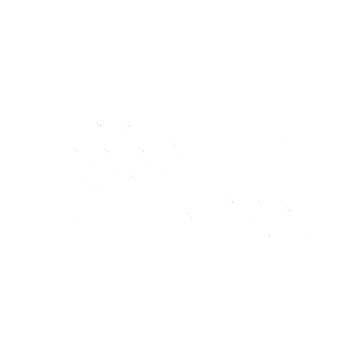 Cc1cc(C)nc(-c2cc(-n3c4ccccc4c4ccc(-c5nc(-c6ccccc6)nc(-c6ccccc6)n5)cc43)c(C#N)cc2-n2c3ccccc3c3ccc(-c4nc(-c5ccccc5)nc(-c5ccccc5)n4)cc32)n1